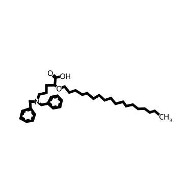 CCCCCCCCCCCCCCCCCCOC(CCCN(Cc1ccccc1)Cc1ccccc1)C(=O)O